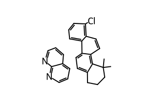 CC1(C)CCCc2ccc3c(ccc4c(Cl)cccc43)c21.c1cnc2ncccc2c1